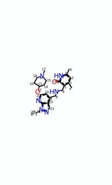 Cc1cc(C)c(CNCc2cc(OC3CCN(C)CC3)nc3c2cnn3C(C)C)c(=O)[nH]1